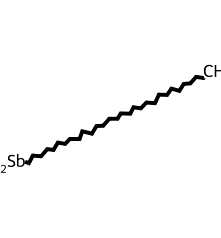 CCCCCCCCCCCCCCCCCCCCCCCCCCCCC[CH2][SbH2]